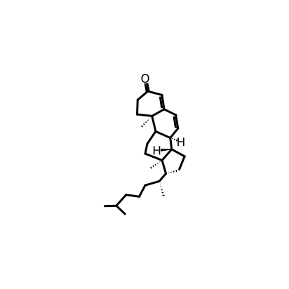 CC(C)CCC[C@@H](C)[C@H]1CC[C@H]2[C@@H]3C=CC4=CC(=O)CC[C@]4(C)C3CC[C@]12C